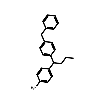 CCCC(c1ccc(N)cc1)c1ccc(Cc2ccccc2)cc1